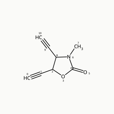 C#CC1OC(=O)N(C)C1C#C